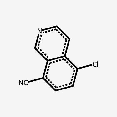 N#Cc1ccc(Cl)c2ccncc12